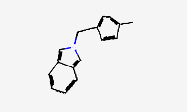 [CH2]c1ccc(Cn2cc3ccccc3c2)cc1